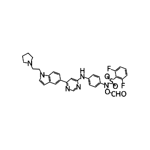 O=CON(c1ccc(Nc2cc(-c3ccc4c(ccn4CCN4CCCC4)c3)ncn2)cc1)S(=O)(=O)c1c(F)cccc1F